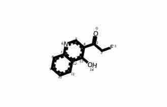 O=C(CF)c1cnc2ccccc2c1O